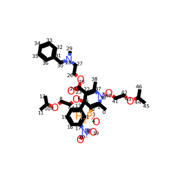 CC1=C([PH2]=O)C(OCCOC(C)C)(c2cccc([N+](=O)[O-])c2)C(C(=O)OCCN(C)Cc2ccccc2)=C(C)N1OCCOC(C)C